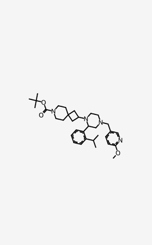 COc1ccc(CN2CCN(C3CC4(CCN(C(=O)OC(C)(C)C)CC4)C3)C(c3ccccc3C(C)C)C2)cn1